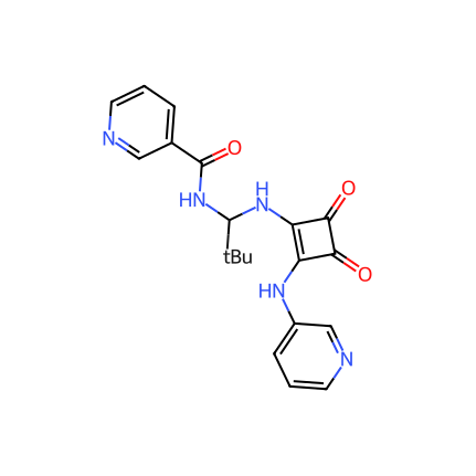 CC(C)(C)C(NC(=O)c1cccnc1)Nc1c(Nc2cccnc2)c(=O)c1=O